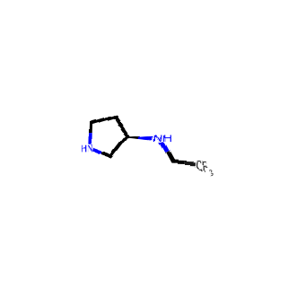 FC(F)(F)CN[C@@H]1CCNC1